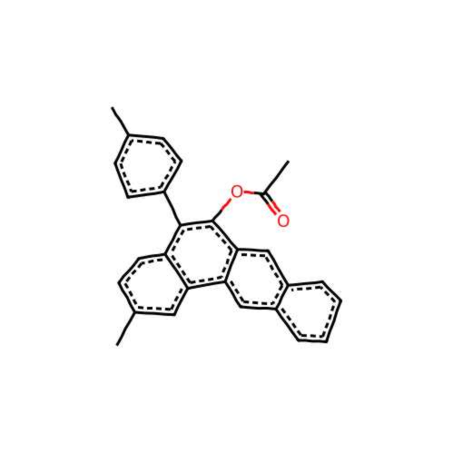 CC(=O)Oc1c(-c2ccc(C)cc2)c2ccc(C)cc2c2cc3ccccc3cc12